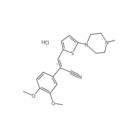 COc1ccc(/C(C#N)=C/c2ccc(N3CCN(C)CC3)s2)cc1OC.Cl